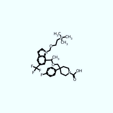 CC(OCC1(c2ccc(F)cc2)CCN(C(=O)O)CC1)c1cc(C(F)(F)F)cc2ccn(COCC[Si](C)(C)C)c12